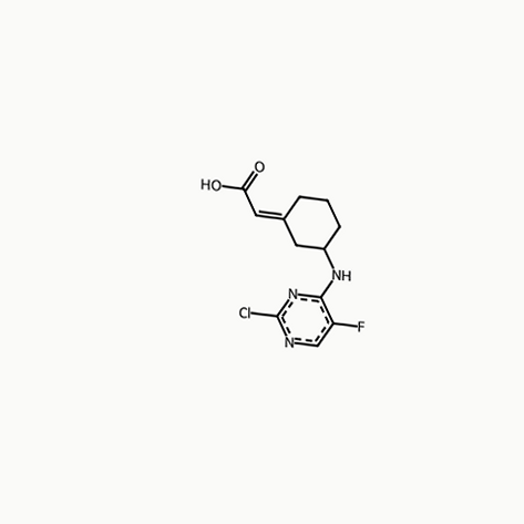 O=C(O)C=C1CCCC(Nc2nc(Cl)ncc2F)C1